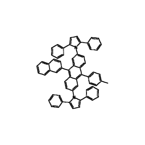 Cc1ccc(-c2c3ccc(-n4c(-c5ccccc5)ccc4-c4ccccc4)cc3c(-c3ccc4ccccc4c3)c3ccc(-n4c(-c5ccccc5)ccc4-c4ccccc4)cc23)cc1